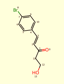 O=C(C=Cc1ccc(Br)cc1)CCO